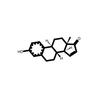 C[C@]12CC[C@@H]3c4ccc(O)cc4CC[C@H]3[C@@H]1C=CC2=O